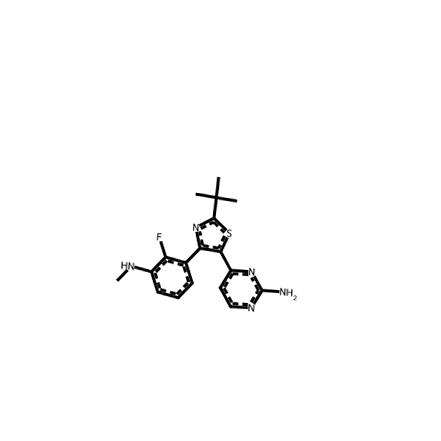 CNc1cccc(-c2nc(C(C)(C)C)sc2-c2ccnc(N)n2)c1F